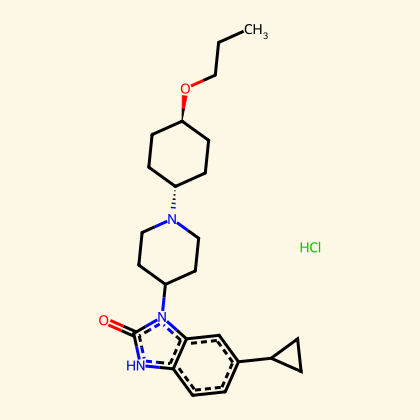 CCCO[C@H]1CC[C@H](N2CCC(n3c(=O)[nH]c4ccc(C5CC5)cc43)CC2)CC1.Cl